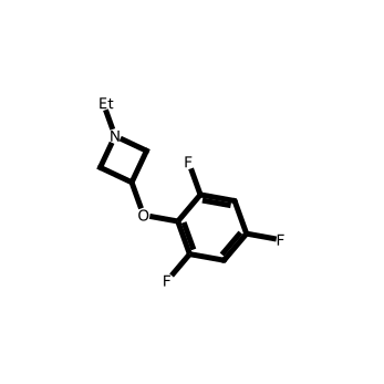 CCN1CC(Oc2c(F)cc(F)cc2F)C1